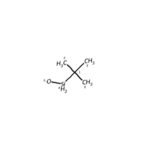 CC(C)(C)[SiH2][O]